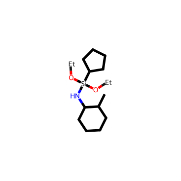 CCO[Si](NC1CCCCC1C)(OCC)C1CCCC1